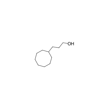 OCCCC1CCCCCCC1